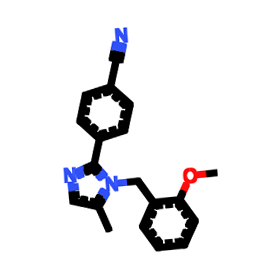 COc1ccccc1Cn1c(C)cnc1-c1ccc(C#N)cc1